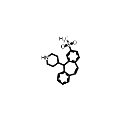 CS(=O)(=O)c1ccc2c(c1)C(C1CCNCC1)c1ccccc1C=C2